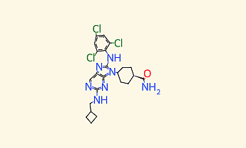 NC(=O)[C@H]1CC[C@@H](n2c(Nc3c(Cl)cc(Cl)cc3Cl)nc3cnc(NCC4CCC4)nc32)CC1